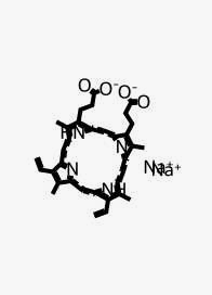 C=CC1=C(C)c2cc3[nH]c(cc4nc(cc5[nH]c(cc1n2)c(C)c5CCC(=O)[O-])C(CCC(=O)[O-])=C4C)c(C)c3C=C.[Na+].[Na+]